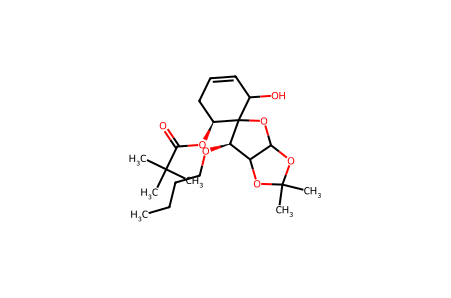 CCCCO[C@@H]1C2OC(C)(C)OC2OC12C(O)C=CC[C@@H]2OC(=O)C(C)(C)C